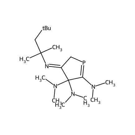 CN(C)C1=PCC(=NC(C)(C)CC(C)(C)C)C1(N(C)C)N(C)C